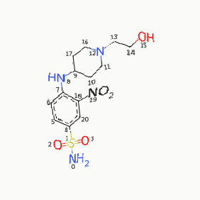 NS(=O)(=O)c1ccc(NC2CCN(CCO)CC2)c([N+](=O)[O-])c1